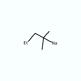 CCC[C](C)(C)[Na]